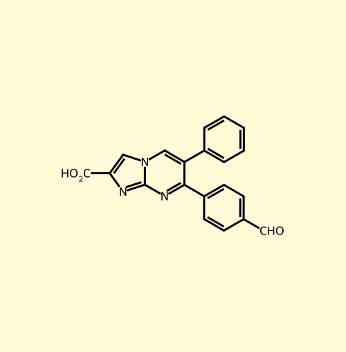 O=Cc1ccc(-c2nc3nc(C(=O)O)cn3cc2-c2ccccc2)cc1